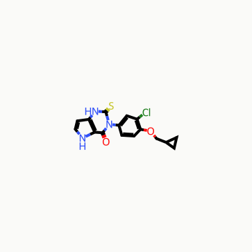 O=c1c2[nH]ccc2[nH]c(=S)n1-c1ccc(OCC2CC2)c(Cl)c1